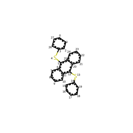 c1ccc(Sc2c3ccccc3c(Sc3ccccc3)c3ccccc23)cc1